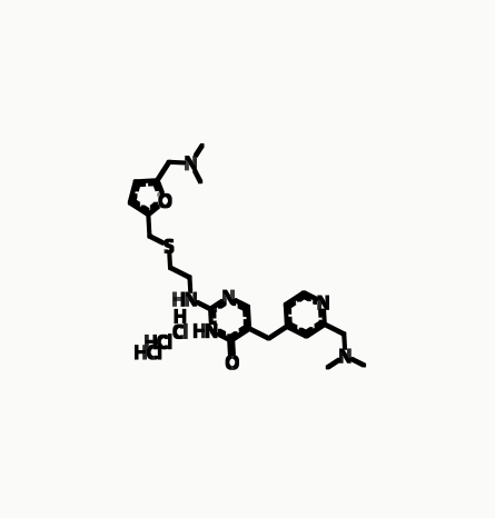 CN(C)Cc1cc(Cc2cnc(NCCSCc3ccc(CN(C)C)o3)[nH]c2=O)ccn1.Cl.Cl.Cl